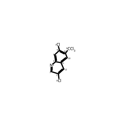 Clc1cnc2cc(Cl)c(C(Cl)(Cl)Cl)cc2c1